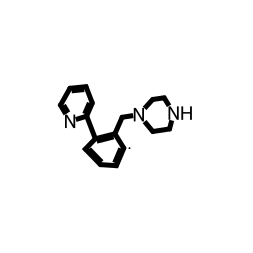 [c]1cccc(-c2ccccn2)c1CN1CCNCC1